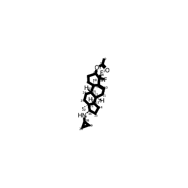 CC(=O)OC1CC[C@@]2(C)C(=CC[C@H]3[C@@H]4CC[C@H](NC5CC5)[C@@]4(C)CC[C@@H]32)C1(F)F